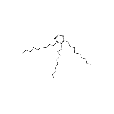 CCCCCCCCCc1[c]ccc(CCCCCCCCC)c1CCCCCCCCC